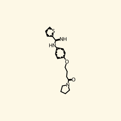 N=C(Nc1ccc(OCCCC(=O)N2CCCC2)cc1)c1cccs1